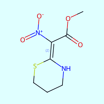 COC(=O)/C(=C1\NCCCS1)[N+](=O)[O-]